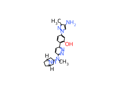 Cc1nn(-c2ccc(-c3ccc(N(C)C4C[C@H]5CC[C@@H](C4)N5)nn3)c(O)c2)cc1N